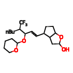 CCCCC(C(C=CC1CCC2OC(O)CC12)OC1CCCCO1)C(F)(F)F